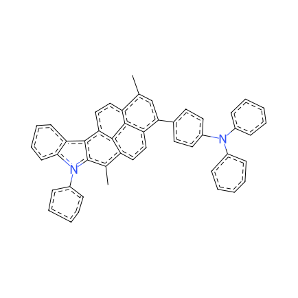 Cc1cc(-c2ccc(N(c3ccccc3)c3ccccc3)cc2)c2ccc3c(C)c4c(c5ccc1c2c35)c1ccccc1n4-c1ccccc1